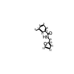 Cc1cccc(C(=O)NCc2ccco2)c1